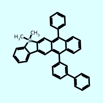 C[Si]1(C)c2ccccc2-c2cc3c(-c4cccc(-c5ccccc5)c4)c4ccccc4c(-c4ccccc4)c3cc21